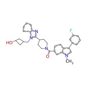 Cn1cc(-c2cccc(F)c2)c2ccc(C(=O)N3CCC(c4nc5ccccc5n4CC4CC(O)C4)CC3)cc21